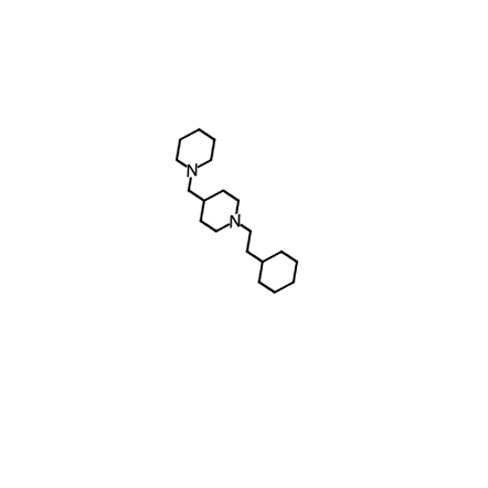 C1CCC(CCN2CCC(CN3CCCCC3)CC2)CC1